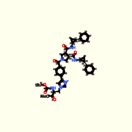 COC(=O)[C@H](Cn1cnc(-c2ccc(C(=O)N3C[C@@H](C(=O)N[C@H]4C[C@@H]4c4ccccc4)[C@H](C(=O)N[C@H]4C[C@@H]4c4ccccc4)C3)cc2)c1)NC(=O)OC(C)(C)C